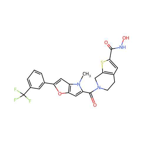 Cn1c(C(=O)N2CCc3cc(C(=O)NO)sc3C2)cc2oc(-c3cccc(C(F)(F)F)c3)cc21